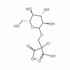 O=C(O)C(Cl)(COC1O[C@H](CO)[C@@H](O)[C@H](O)[C@H]1O)C(=O)O